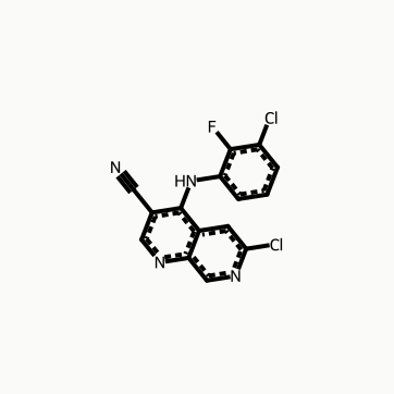 N#Cc1cnc2cnc(Cl)cc2c1Nc1cccc(Cl)c1F